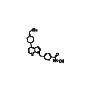 CC(C)(C)CN1CCC(c2ccnc3c2ccn3Cc2ccc(C(=O)NO)cc2)CC1